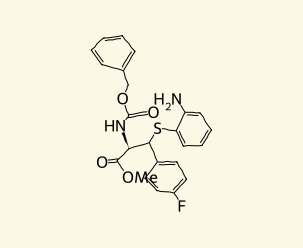 COC(=O)[C@@H](NC(=O)OCc1ccccc1)C(Sc1ccccc1N)c1ccc(F)cc1